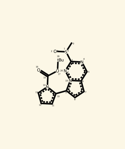 C[S+]([O-])c1ncc2ccc(-c3cccn3C(=O)OC(C)(C)C)n2n1